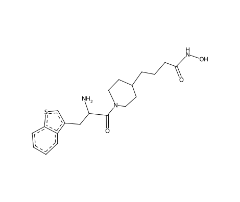 NC(Cc1csc2ccccc12)C(=O)N1CCC(CCCC(=O)NO)CC1